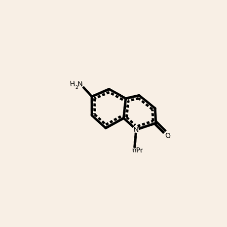 CCCn1c(=O)ccc2cc(N)ccc21